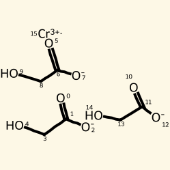 O=C([O-])CO.O=C([O-])CO.O=C([O-])CO.[Cr+3]